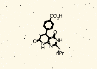 CCCSc1nc2c(c(=O)[nH]1)C(c1ccc(C(=O)O)cc1)CC(=O)N2